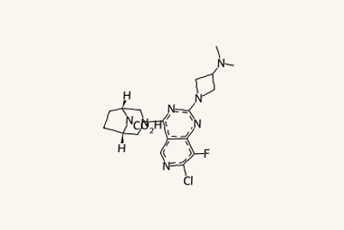 CN(C)C1CN(c2nc(N3C[C@H]4CC[C@@H](C3)N4C(=O)O)c3cnc(Cl)c(F)c3n2)C1